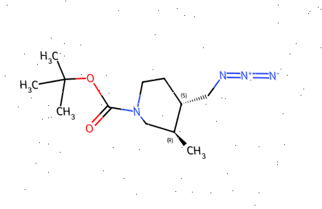 C[C@H]1CN(C(=O)OC(C)(C)C)CC[C@@H]1CN=[N+]=[N-]